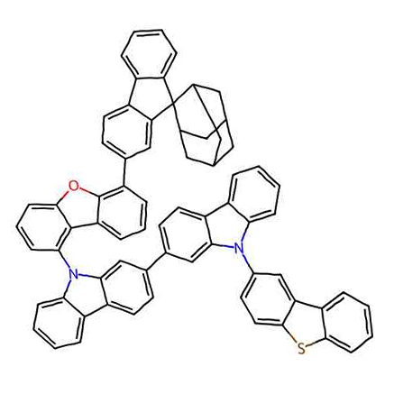 c1ccc2c(c1)-c1ccc(-c3cccc4c3oc3cccc(-n5c6ccccc6c6ccc(-c7ccc8c9ccccc9n(-c9ccc%10sc%11ccccc%11c%10c9)c8c7)cc65)c34)cc1C21C2CC3CC(C2)CC1C3